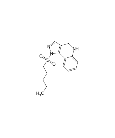 CCCCCS(=O)(=O)n1ncc2c1-c1ccccc1NC2